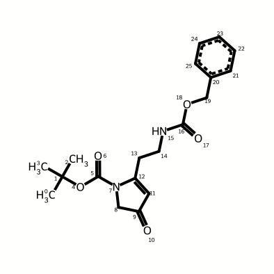 CC(C)(C)OC(=O)N1CC(=O)C=C1CCNC(=O)OCc1ccccc1